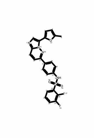 Cc1ccc(-c2cnc3ccc(-c4ccc(NS(=O)(=O)c5cccc(F)c5F)cc4)nn23)o1